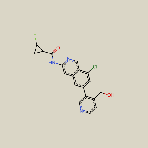 O=C(Nc1cc2cc(-c3cnccc3CO)cc(Cl)c2cn1)C1CC1F